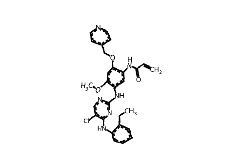 C=CC(=O)Nc1cc(Nc2ncc(Cl)c(Nc3ccccc3CC)n2)c(OC)cc1OCc1ccncc1